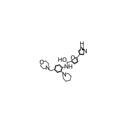 OC(Nc1ccc(CN2CCOCC2)cc1N1CCCCC1)c1ccc(-c2cn[nH]c2)o1